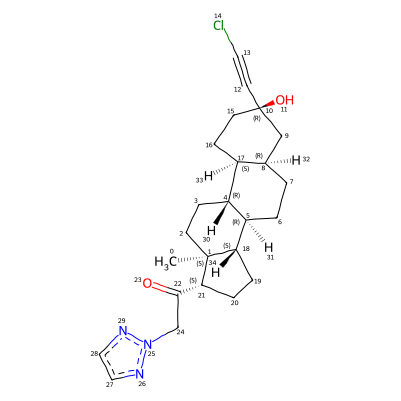 C[C@]12CC[C@H]3[C@@H](CC[C@@H]4C[C@@](O)(C#CCl)CC[C@@H]43)[C@@H]1CC[C@@H]2C(=O)Cn1nccn1